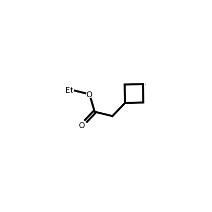 CCOC(=O)CC1C[CH]C1